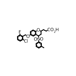 Cc1cccc(S(=O)(=O)C2CC(CCC(=O)O)Oc3ccc(OCc4c(F)cccc4Cl)cc32)c1